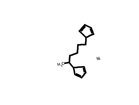 CC(CCCCC1C=CC=C1)C1C=CC=C1.[Ni]